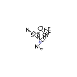 CCn1cc(-c2ccccc2[C@@H]2CN(C(=O)/C=C/C(C3CC3)N(C)C)Cc3sc(C#N)cc32)c(C(F)(F)F)n1